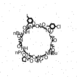 CCCC[C@@H]1NC(=O)[C@H](Cc2cccc(I)c2)NC(=O)CN(C)C(=O)[C@H](Cc2ccc(Cl)cc2)N(C)C(=O)CN(C)C(=O)CN(C)C(=O)[C@H]([C@@H](C)CC)NC(=O)[C@H](CC(C)C)N(C)C(=O)C[C@@H](C(=O)N2CCCC2)N(C)C(=O)[C@H](CCC)NC(=O)C(C)(C)N(C)C1=O